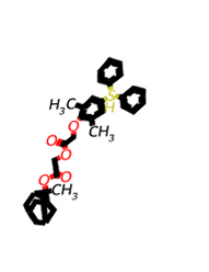 Cc1cc([SH](c2ccccc2)c2ccccc2)cc(C)c1OCC(=O)OCC(=O)OC1(C)C2CC3CC(C2)CC1C3